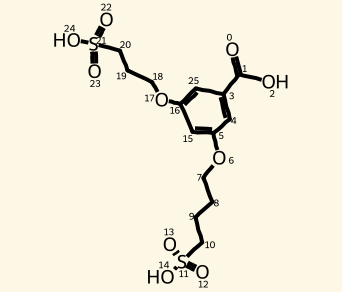 O=C(O)c1cc(OCCCCS(=O)(=O)O)cc(OCCCS(=O)(=O)O)c1